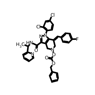 CC(NC(=O)c1nn(-c2ccc(Cl)cc2Cl)c2c1CN(OC(=O)OCc1ccccc1)C/C2=C\c1ccc(F)cc1)c1ccccn1